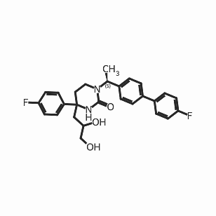 C[C@@H](c1ccc(-c2ccc(F)cc2)cc1)N1CCC(CC(O)CO)(c2ccc(F)cc2)NC1=O